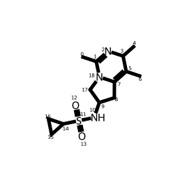 CC1=NC(C)C(C)=C2CC(NS(=O)(=O)C3CC3)CN12